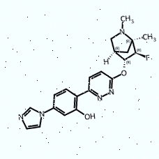 CN1C[C@H]2C[C@]1(C)[C@@H](F)[C@@H]2Oc1ccc(-c2ccc(-n3ccnc3)cc2O)nn1